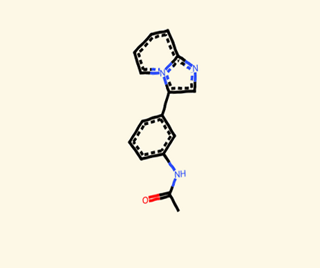 CC(=O)Nc1cccc(-c2cnc3ccccn23)c1